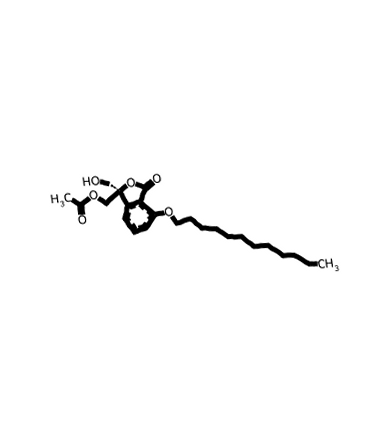 CCCCCCCCCCCCOc1cccc2c1C(=O)O[C@]2(CO)COC(C)=O